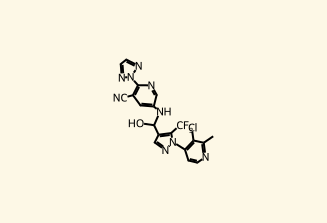 Cc1nccc(-n2ncc(C(O)Nc3cnc(-n4nccn4)c(C#N)c3)c2C(F)(F)F)c1Cl